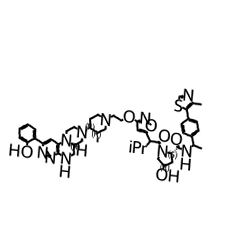 Cc1ncsc1-c1ccc(C(C)NC(=O)[C@@H]2C[C@@H](O)CN2C(=O)C(c2cc(OCCN3CC[C@@H](N4CCN5c6cc(-c7ccccc7O)nnc6NC[C@@H]5C4)[C@H](C)C3)no2)C(C)C)cc1